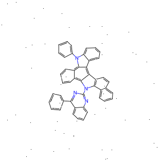 c1ccc(-c2nc(-n3c4c5ccccc5ccc4c4c5c6ccccc6n(-c6ccccc6)c5c5ccccc5c43)nc3ccccc23)cc1